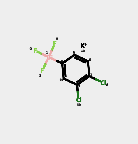 F[B-](F)(F)c1ccc(Cl)c(Cl)c1.[K+]